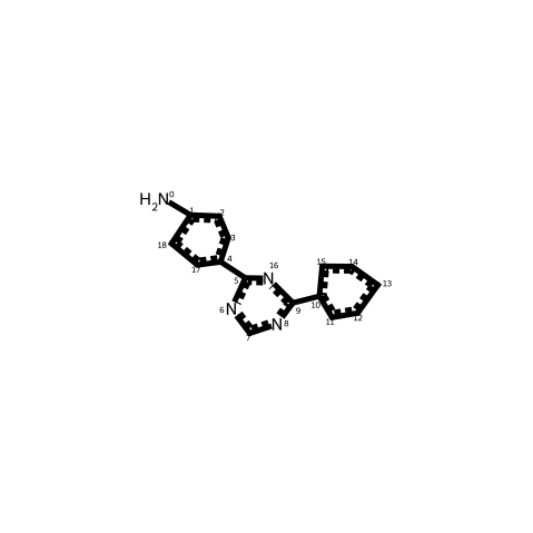 Nc1ccc(-c2ncnc(-c3ccccc3)n2)cc1